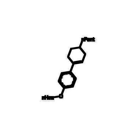 CCCCCCOc1ccc(C2=CCC(CCCCC)CC2)cc1